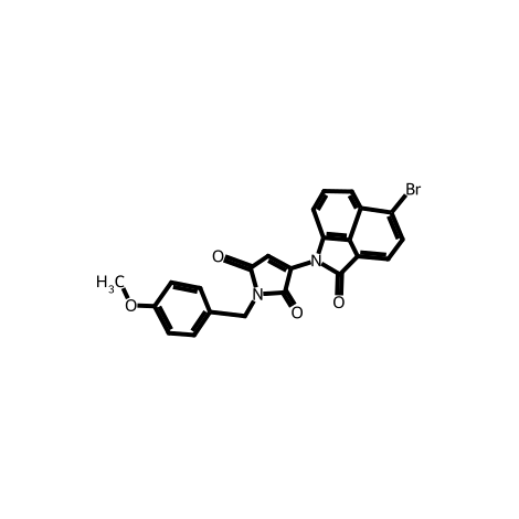 COc1ccc(CN2C(=O)C=C(N3C(=O)c4ccc(Br)c5cccc3c45)C2=O)cc1